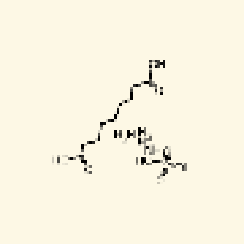 N.N.N.O=C(O)CCCCCCCC(=O)O.O=S(=O)(O)O